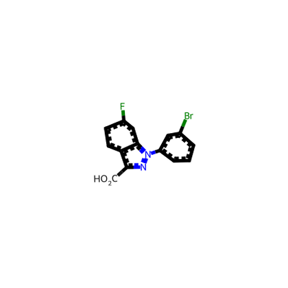 O=C(O)c1nn(-c2cccc(Br)c2)c2cc(F)ccc12